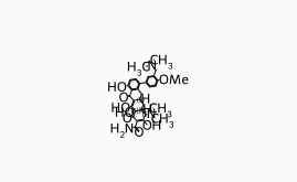 COc1ccc(-c2ccc(O)c3c2C[C@@H]2C[C@@H]4[C@H](N(C)C)C(O)=C(C(N)=O)C(=O)[C@@]4(O)C(O)=C2C3=O)cc1CN(C)C